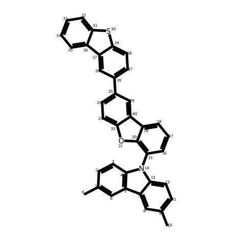 Cc1ccc2c(c1)c1cc(C)ccc1n2-c1cccc2c1oc1ccc(-c3ccc4sc5ccccc5c4c3)cc12